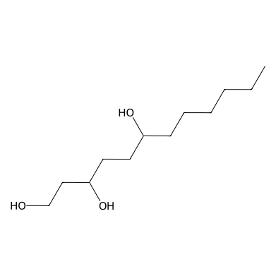 CCCCCCC(O)CCC(O)CCO